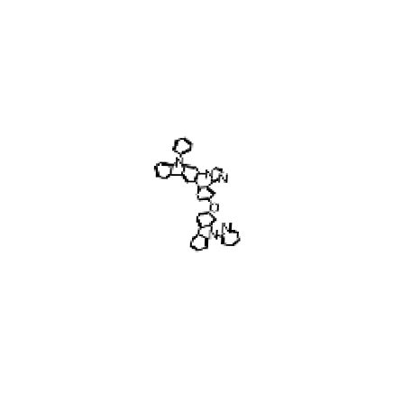 c1ccc(-n2c3ccccc3c3cc4c5ccc(Oc6ccc7c8ccccc8n(-c8ccccn8)c7c6)cc5c5nccn5c4cc32)cc1